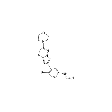 O=C(O)Nc1ccc(F)c(-c2cn3nc(N4CCOCC4)cnc3n2)c1